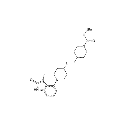 Cn1c(=O)[nH]c2cccc(N3CCC(OCC4CCN(C(=O)OC(C)(C)C)CC4)CC3)c21